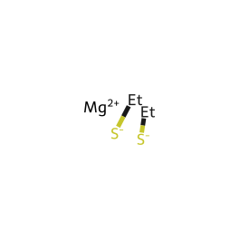 CC[S-].CC[S-].[Mg+2]